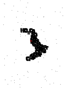 CC(C)C1=C2[C@H]3CC[C@@H]4[C@@]5(C)CC[C@H](OC(=O)CC(C)(C)C(=O)O)C(C)(C)[C@@H]5CC[C@@]4(C)[C@]3(C)CC[C@@]2(c2nnc(C(C)(C)c3ccc(Cl)cc3)o2)CC1=O